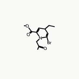 CCC1C=C(Br)N(CC(C)=O)C(C(=O)OC)=C1